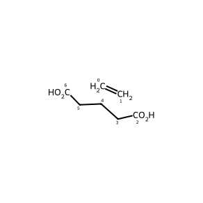 C=C.O=C(O)CCCC(=O)O